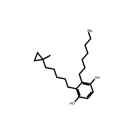 CC(C)(C)CCCCCCc1c(O)ccc(O)c1CCCCCC1(C)CC1